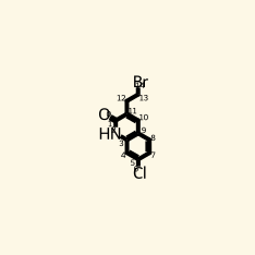 O=c1[nH]c2cc(Cl)ccc2cc1CCBr